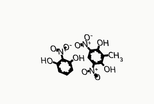 Cc1c(O)c([N+](=O)[O-])cc([N+](=O)[O-])c1O.O=[N+]([O-])c1c(O)cccc1O